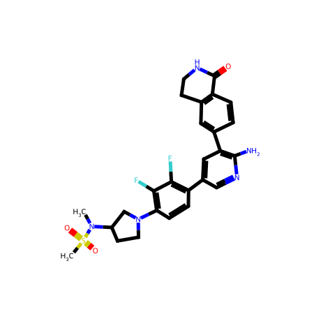 CN(C1CCN(c2ccc(-c3cnc(N)c(-c4ccc5c(c4)CCNC5=O)c3)c(F)c2F)C1)S(C)(=O)=O